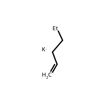 C=CCCCC.[K]